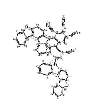 N#Cc1cc(-n2c3ccccc3c3c4c(ccc32)oc2ccccc24)ccc1-c1cc(C#N)c(C#N)c(C#N)c1-n1c2ccccc2c2c3c(ccc21)oc1ccccc13